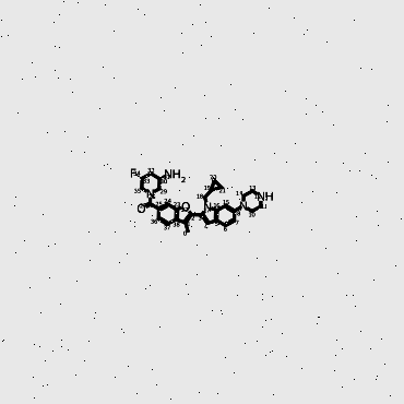 Cc1c(-c2cc3ccc(N4CCNCC4)cc3n2CC2CC2)oc2cc(C(=O)N3C[C@H](N)C[C@@H](F)C3)ccc12